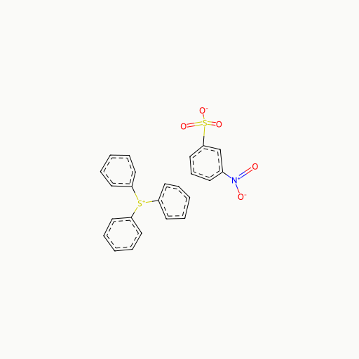 O=[N+]([O-])c1cccc(S(=O)(=O)[O-])c1.c1ccc([S+](c2ccccc2)c2ccccc2)cc1